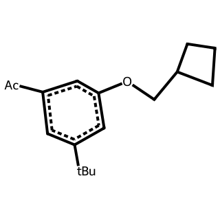 CC(=O)c1cc(OCC2CCC2)cc(C(C)(C)C)c1